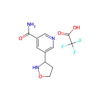 NC(=O)c1cncc(C2CCON2)c1.O=C(O)C(F)(F)F